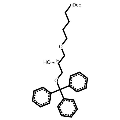 CCCCCCCCCCCCCCOC[C@@H](O)COC(c1ccccc1)(c1ccccc1)c1ccccc1